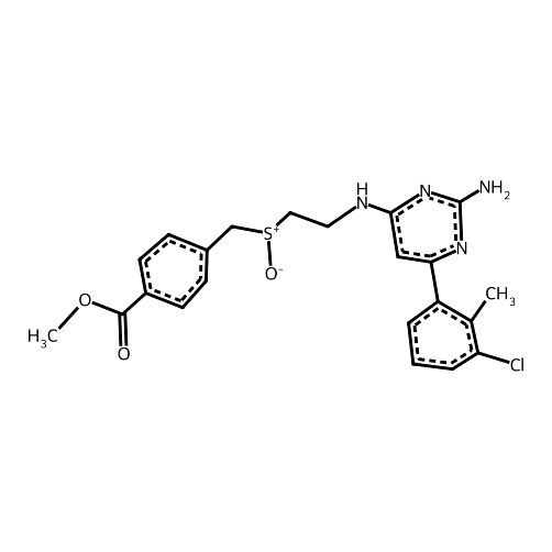 COC(=O)c1ccc(C[S+]([O-])CCNc2cc(-c3cccc(Cl)c3C)nc(N)n2)cc1